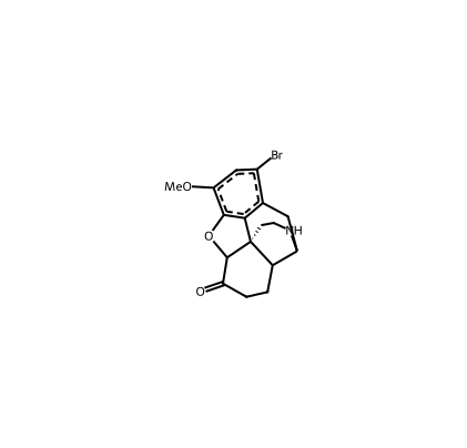 COc1cc(Br)c2c3c1OC1C(=O)CCC4C(C2)NCC[C@@]314